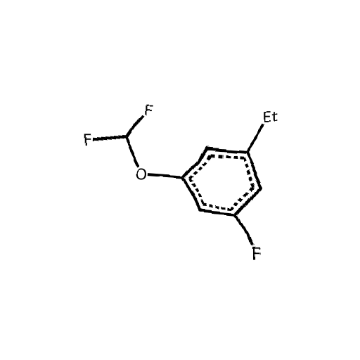 CCc1cc(F)cc(OC(F)F)c1